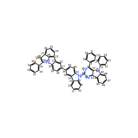 c1ccc(-c2nc(-n3c4ccccc4c4cc(-c5ccc6c(c5)c5cccc7c8sc9ccccc9c8n6c57)ccc43)nc3c4ccccc4n(-c4ccccc4)c23)cc1